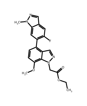 CCOC(=O)Cn1ncc2c(-c3cc4c(cnn4C)cc3F)ccc(OC)c21